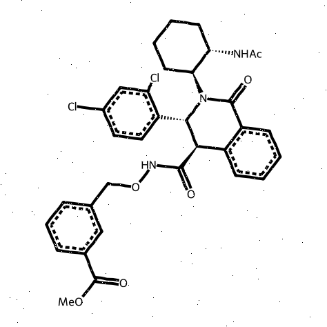 COC(=O)c1cccc(CONC(=O)[C@@H]2c3ccccc3C(=O)N([C@H]3CCCC[C@@H]3NC(C)=O)[C@H]2c2ccc(Cl)cc2Cl)c1